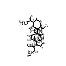 CC(O)C1CCC2=C(F)C[C@@H]3[C@H](CC[C@]4(C)[C@@H](C(=O)CBr)CC[C@@H]34)[C@H]2C1